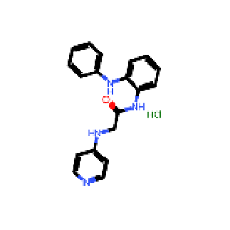 Cl.O=C(CNc1ccncc1)Nc1ccccc1Nc1ccccc1